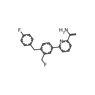 C=C(N)c1cccc(-c2ccc(Cc3ccc(F)cc3)c(CF)c2)n1